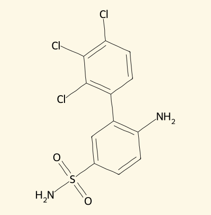 Nc1ccc(S(N)(=O)=O)cc1-c1ccc(Cl)c(Cl)c1Cl